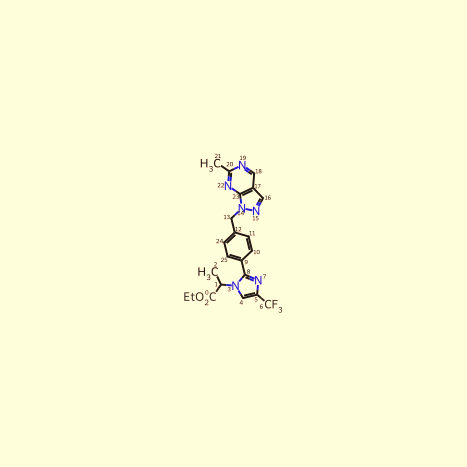 CCOC(=O)C(C)n1cc(C(F)(F)F)nc1-c1ccc(Cn2ncc3cnc(C)nc32)cc1